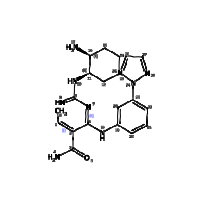 C/C=C(C(N)=O)\C(=N/C(=N)N[C@@H]1CCCC[C@@H]1N)Nc1cccc(-n2nccn2)c1